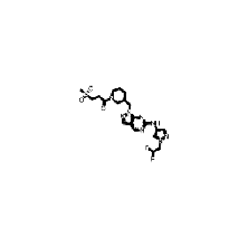 CS(=O)(=O)CCC(=O)N1CCCC(Cn2ncc3cnc(Nc4cnn(CC(F)F)c4)nc32)C1